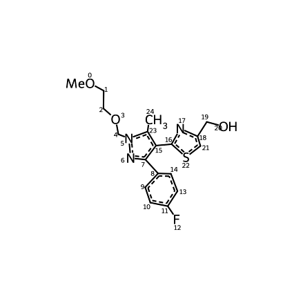 COCCOCn1nc(-c2ccc(F)cc2)c(-c2nc(CO)cs2)c1C